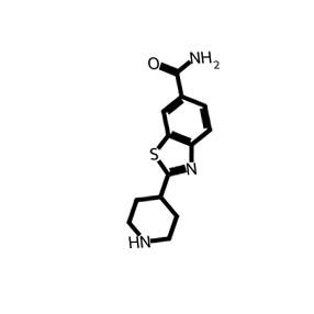 NC(=O)c1ccc2nc(C3CCNCC3)sc2c1